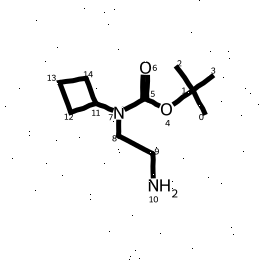 CC(C)(C)OC(=O)N(CCN)C1CCC1